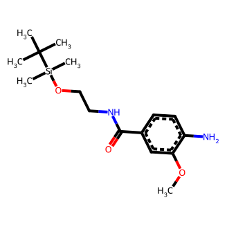 COc1cc(C(=O)NCCO[Si](C)(C)C(C)(C)C)ccc1N